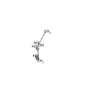 CCCCCCCCCCCCCC[C@H](O)[C@H](O)CC[C@@H](O)[C@@H]1CCC(CCCCCC(O)CC2=CC(C)OC2=O)O1